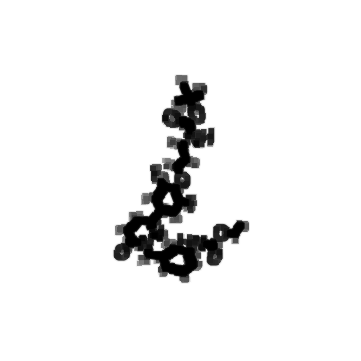 CCOC(=O)Nc1cccc(Cn2nc(-c3cc(F)c(OCCCNC(=O)OC(C)(C)C)c(F)c3)ccc2=O)c1